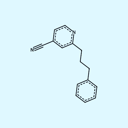 N#Cc1ccnc(CCCc2ccccc2)c1